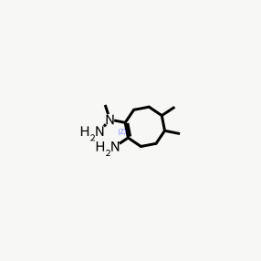 CC1CC/C(N)=C(/N(C)N)CCC1C